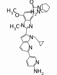 COc1cc(C(=O)N2CC3CCC2C3N)cc2nc(-c3cc4ccc(-c5ccc(N)nc5)nc4n3CC3CC3)n(C)c12